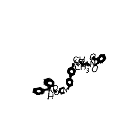 C[N+](C)(CCCCN1C(=O)c2ccccc2C1=O)Cc1ccc(-c2ccc(CN3CCC(OC(=O)NC(c4ccccc4)c4ccccc4)CC3)cc2)cc1